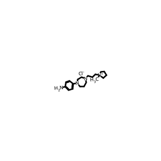 C[N+]1(CCCN2CCCN(c3ccc(N)cc3)CC2)CCCC1.[Cl-]